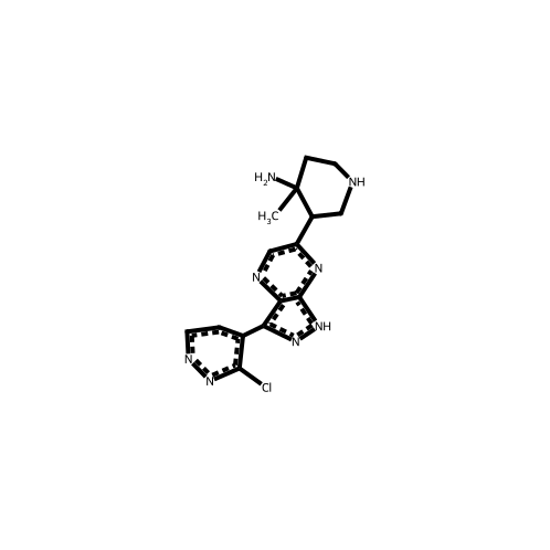 CC1(N)CCNCC1c1cnc2c(-c3ccnnc3Cl)n[nH]c2n1